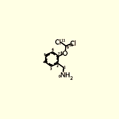 NCc1ccccc1OC(Cl)Cl